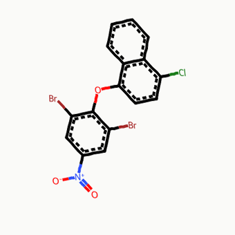 O=[N+]([O-])c1cc(Br)c(Oc2ccc(Cl)c3ccccc23)c(Br)c1